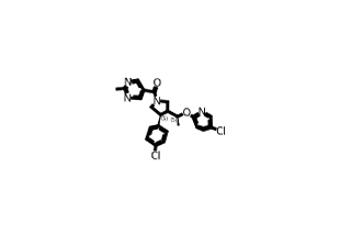 Cc1ncc(C(=O)N2CC([C@H](C)Oc3ccc(Cl)cn3)[C@@H](c3ccc(Cl)cc3)C2)cn1